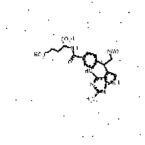 CNCC(c1ccc(C(=O)N[C@@H](CCC(=O)O)C(=O)O)cc1)c1c[nH]c2nc(C)nc(O)c12